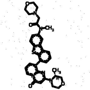 C[C@@H]1COCCN1c1cc(=O)n2cccc(-c3cccc4c3sc3ccc(N(C)C(=O)CN5CCOCC5)cc34)c2n1